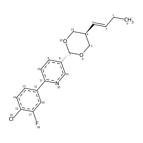 CC/C=C/[C@H]1CO[C@H](c2ccc(-c3ccc(Cl)c(F)c3)nc2)OC1